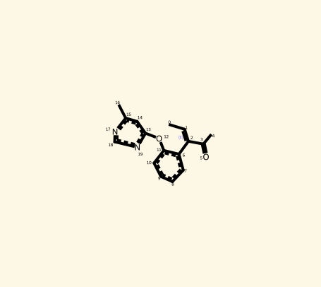 C/C=C(/C(C)=O)c1ccccc1Oc1cc(C)ncn1